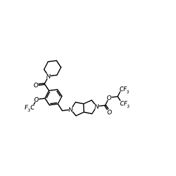 O=C(OC(C(F)(F)F)C(F)(F)F)N1CC2CN(Cc3ccc(C(=O)N4CCCCC4)c(OC(F)(F)F)c3)CC2C1